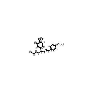 CCCCc1ccc(C=NN=C(CCCF)c2ccc(CCC)c(F)c2)cc1